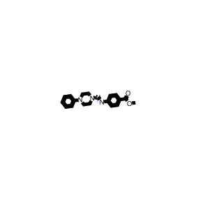 COC(=O)c1ccc(/N=N/N2CCN(c3ccccc3)CC2)cc1